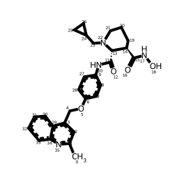 Cc1cc(COc2ccc(NC(=O)[C@H]3[C@H](C(=O)NO)CCCN3CC3CC3)cc2)c2ccccc2n1